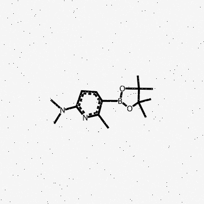 Cc1nc(N(C)C)ccc1B1OC(C)(C)C(C)(C)O1